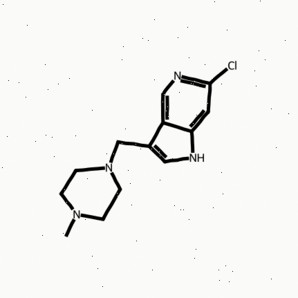 CN1CCN(Cc2c[nH]c3cc(Cl)ncc23)CC1